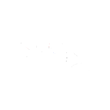 CC(NC(=O)CCC(=O)Cl)c1ccc(C(F)(F)F)cc1F